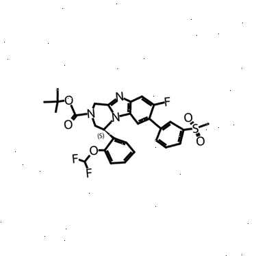 CC(C)(C)OC(=O)N1Cc2nc3cc(F)c(-c4cccc(S(C)(=O)=O)c4)cc3n2[C@@H](c2ccccc2OC(F)F)C1